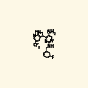 Nc1cnc(NCc2cccc(F)c2)nc1-c1c[nH]c2ncc(C(F)(F)F)cc12